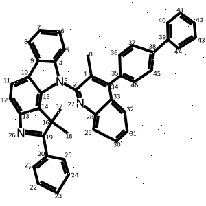 Cc1c(-n2c3ccccc3c3ccc4c(c32)C(C)(C)C(c2ccccc2)=N4)nc2ccccc2c1-c1ccc(-c2ccccc2)cc1